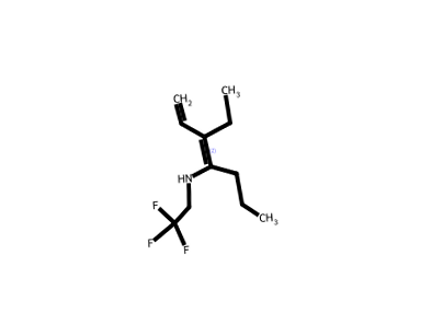 C=C/C(CC)=C(/CCC)NCC(F)(F)F